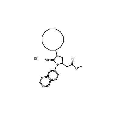 COC(=O)CC1CN(C2CCCCCCCCCCC2)[C](=[Au+])N1c1ccc2ccccc2c1.[Cl-]